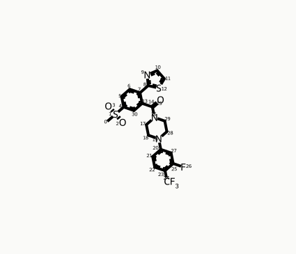 CS(=O)(=O)c1ccc(-c2nccs2)c(C(=O)N2CCN(c3ccc(C(F)(F)F)c(F)c3)CC2)c1